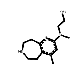 Cc1cc(N(C)CCO)nc2c1CCNCC2